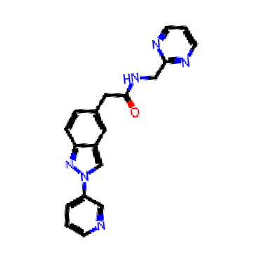 O=C(Cc1ccc2nn(-c3cccnc3)cc2c1)NCc1ncccn1